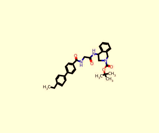 CCc1ccc(-c2ccc(C(=O)NCC(=O)NC3CN(C(=O)OC(C)(C)C)Cc4ccccc43)cc2)cc1